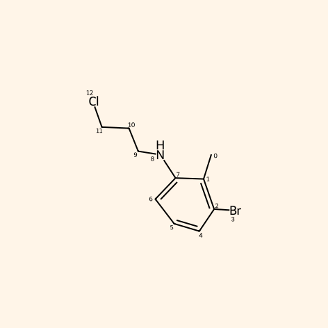 Cc1c(Br)cccc1NCCCCl